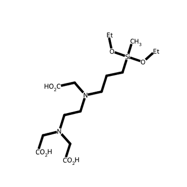 CCO[Si](C)(CCCN(CCN(CC(=O)O)CC(=O)O)CC(=O)O)OCC